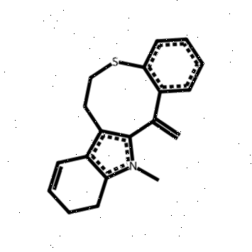 C=C1c2ccccc2SCCc2c3c(n(C)c21)CCC=C3